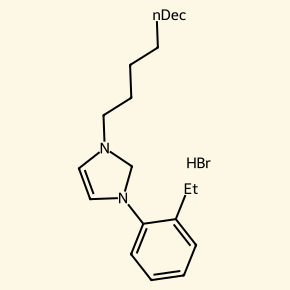 Br.CCCCCCCCCCCCCCN1C=CN(c2ccccc2CC)C1